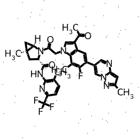 CC(=O)c1cn(CC(=O)N2[C@H](C(=O)Nc3nc(C(F)(F)F)ccc3C)C[C@@]3(C)C[C@@H]23)c2c(C)c(F)c(-c3cnc4cc(C)nn4c3)cc12